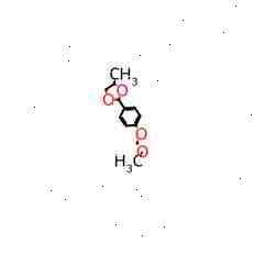 COCOc1ccc(C2OCC(C)O2)cc1